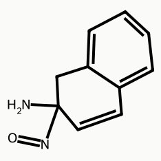 NC1(N=O)C=Cc2ccccc2C1